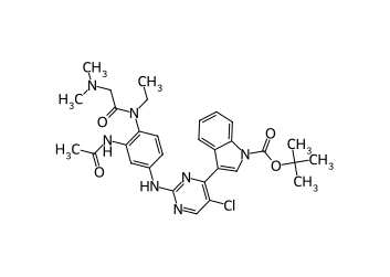 CCN(C(=O)CN(C)C)c1ccc(Nc2ncc(Cl)c(-c3cn(C(=O)OC(C)(C)C)c4ccccc34)n2)cc1NC(C)=O